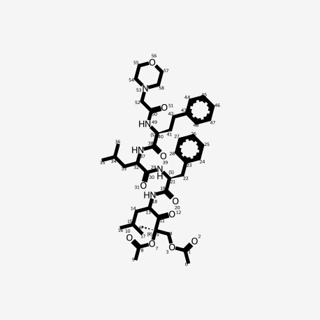 CC(=O)OC[C@@](C)(OC(C)=O)C(=O)C(CC(C)C)NC(=O)[C@H](Cc1ccccc1)NC(=O)C(CC(C)C)NC(=O)[C@H](CCc1ccccc1)NC(=O)CN1CCOCC1